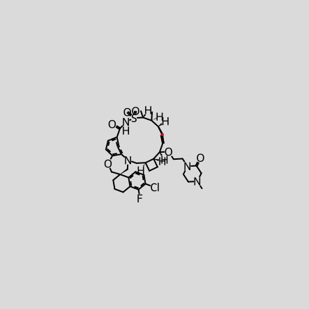 C[C@@H]1[C@@H](C)S(=O)(=O)NC(=O)c2ccc3c(c2)N(C[C@@H]2CC[C@H]2[C@@H](OCCN2CCN(C)CC2=O)C2=C[C@H]1C2)C[C@@]1(CCCc2c1ccc(Cl)c2F)CO3